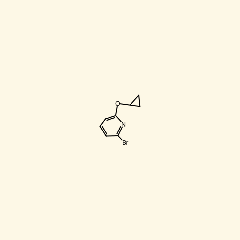 Brc1cccc(OC2CC2)n1